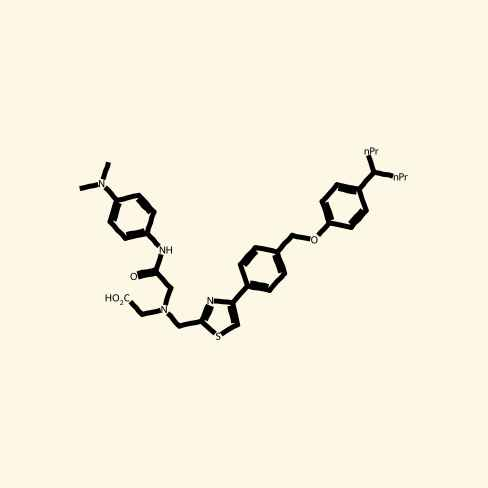 CCCC(CCC)c1ccc(OCc2ccc(-c3csc(CN(CC(=O)O)CC(=O)Nc4ccc(N(C)C)cc4)n3)cc2)cc1